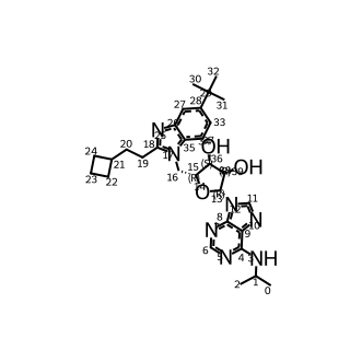 CC(C)Nc1ncnc2c1ncn2[C@@H]1O[C@H](Cn2c(CCC3CCC3)nc3cc(C(C)(C)C)ccc32)[C@@H](O)[C@H]1O